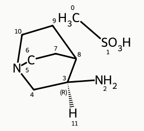 CS(=O)(=O)O.N[C@H]1CN2CCC1CC2